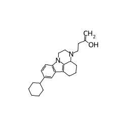 C=C(O)CCN1CCn2c3c(c4cc(C5CCCCC5)ccc42)CCCC31